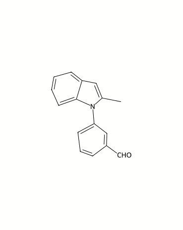 Cc1cc2ccccc2n1-c1cccc(C=O)c1